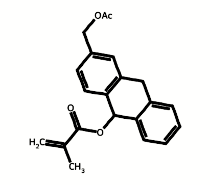 C=C(C)C(=O)OC1c2ccccc2Cc2cc(COC(C)=O)ccc21